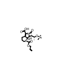 C=CCOC(=O)N1CCCC2=C(C(=O)O)N3C(=O)[C@H]([C@@H](C)O[Si](C)(C)C)[C@H]3[C@@H]21